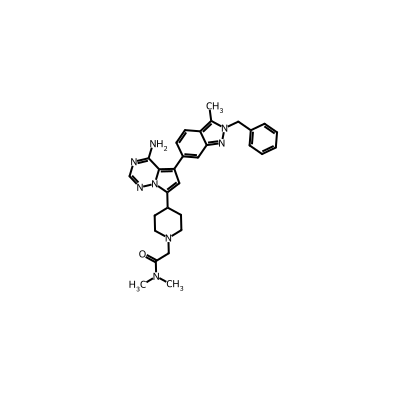 Cc1c2ccc(-c3cc(C4CCN(CC(=O)N(C)C)CC4)n4ncnc(N)c34)cc2nn1Cc1ccccc1